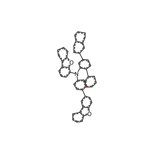 c1ccc(-c2ccc(-c3ccc4ccccc4c3)cc2N(c2ccc(-c3ccc4oc5ccccc5c4c3)cc2)c2cccc3c2oc2ccccc23)cc1